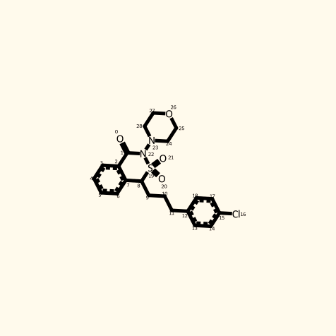 O=C1c2ccccc2C(CCCc2ccc(Cl)cc2)S(=O)(=O)N1N1CCOCC1